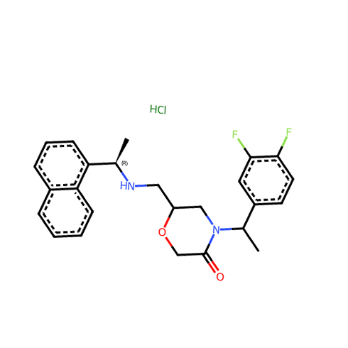 CC(c1ccc(F)c(F)c1)N1CC(CN[C@H](C)c2cccc3ccccc23)OCC1=O.Cl